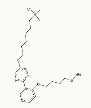 CCCCOCCCCOc1ccccc1-c1ncc(OCCCCCC[Si](C)(C)CC)cn1